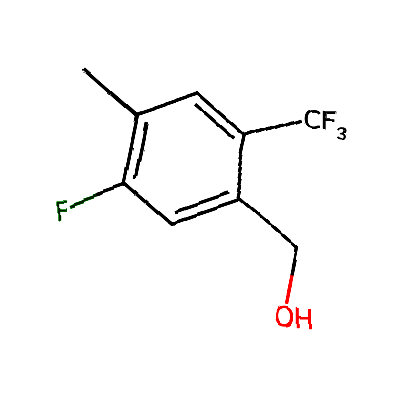 Cc1cc(C(F)(F)F)c(CO)cc1F